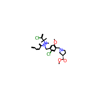 C=C/C=C\C(=C)N(Cc1cc(OC)c(CN2CC[C@@H](C(=O)OC)C2)cc1Cl)N(C)C(C)(C)C(=C)Cl